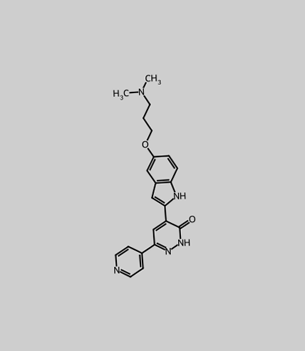 CN(C)CCCOc1ccc2[nH]c(-c3cc(-c4ccncc4)n[nH]c3=O)cc2c1